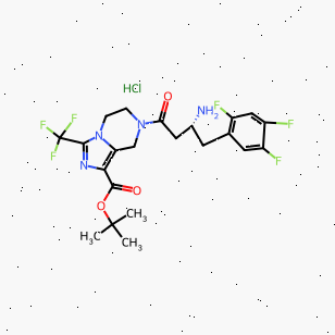 CC(C)(C)OC(=O)c1nc(C(F)(F)F)n2c1CN(C(=O)C[C@H](N)Cc1cc(F)c(F)cc1F)CC2.Cl